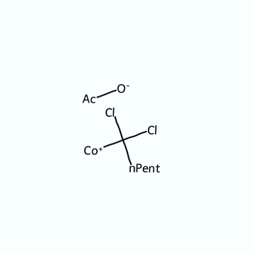 CC(=O)[O-].CCCCC[C](Cl)(Cl)[Co+]